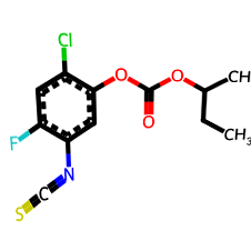 CCC(C)OC(=O)Oc1cc(N=C=S)c(F)cc1Cl